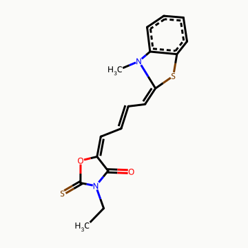 CCN1C(=O)C(=CC=CC=C2Sc3ccccc3N2C)OC1=S